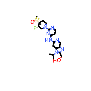 CC(C)n1c(CO)nc2cnc(Nc3ccnc(N4CC[C@@H]([S+](C)[O-])[C@@H](F)C4)n3)cc21